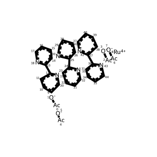 CC(=O)[O-].CC(=O)[O-].CC(=O)[O-].CC(=O)[O-].[Ru+4].c1ccc(-c2ccccn2)nc1.c1ccc(-c2ccccn2)nc1.c1ccc(-c2ccccn2)nc1